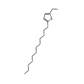 [CH2]Cc1ccc(CCCCCCCCCCCC)s1